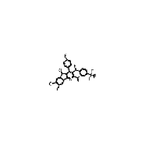 CC(C)c1nc2c(c(-c3ccc(F)cc3)c1C(F)c1ccc(C(F)(F)F)cc1)C(=O)c1cc(Cl)c(Cl)cc1-2